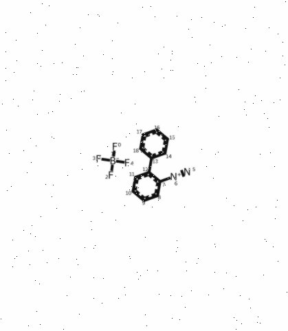 F[B-](F)(F)F.N#[N+]c1ccccc1-c1ccccc1